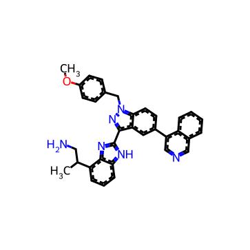 COc1ccc(Cn2nc(-c3nc4c(C(C)CN)cccc4[nH]3)c3cc(-c4cncc5ccccc45)ccc32)cc1